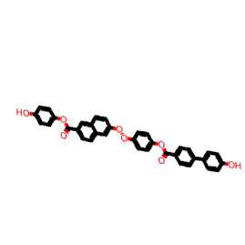 O=C(Oc1ccc(OOc2ccc3cc(C(=O)Oc4ccc(O)cc4)ccc3c2)cc1)c1ccc(-c2ccc(O)cc2)cc1